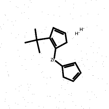 CC(C)(C)C1=[C]([Zr][C]2=CC=CC2)CC=C1.[H-].[H-]